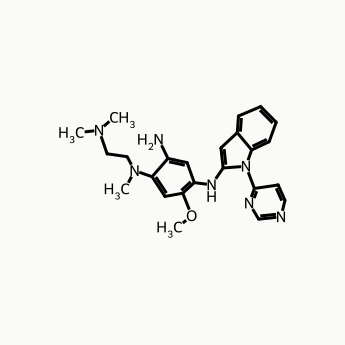 COc1cc(N(C)CCN(C)C)c(N)cc1Nc1cc2ccccc2n1-c1ccncn1